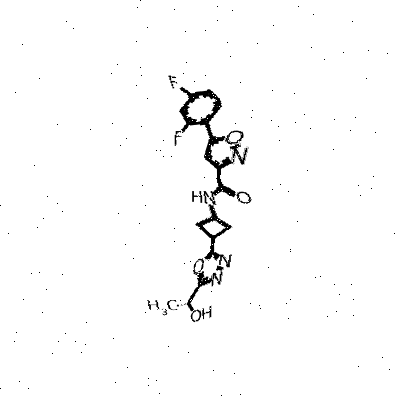 C[C@@H](O)c1nnc(C2CC(NC(=O)c3cc(-c4ccc(F)cc4F)on3)C2)o1